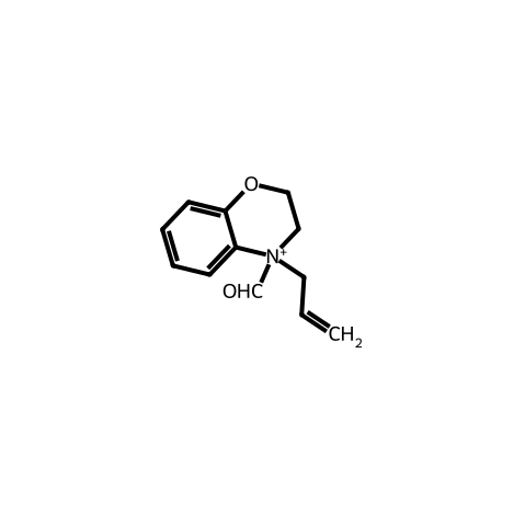 C=CC[N+]1(C=O)CCOc2ccccc21